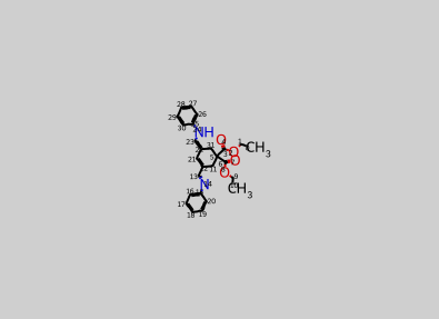 CCOC(=O)C1(C(=O)OCC)CC(/C=N/c2ccccc2)=CC(=C/Nc2ccccc2)/C1